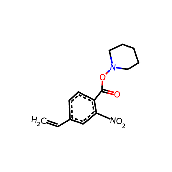 C=Cc1ccc(C(=O)ON2CCCCC2)c([N+](=O)[O-])c1